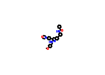 COc1ccc(CNc2nc3ccc(-c4cccc(NC(=O)c5ccccc5)c4)cc3cc2-c2ccc(N3CCOCC3)cc2)cc1